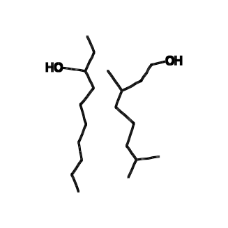 CC(C)CCCC(C)CCO.CCCCCCCC(O)CC